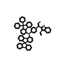 C=Cc1c(/C(=C\C)c2ccc(N(c3cccc4c3-c3ccccc3C4(c3ccccc3)c3ccccc3)c3cccc4c3-c3ccccc3C43c4ccccc4-c4ccccc43)cc2)oc2ccccc12